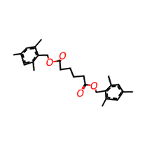 Cc1cc(C)c(COC(=O)CCCCC(=O)OCc2c(C)cc(C)cc2C)c(C)c1